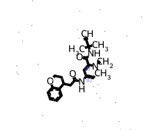 C#CC(C)(C)NC(=O)/C(=C/C(=C\C)NC(=O)CC1CCOc2ccccc21)N=C